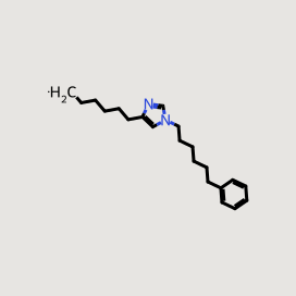 [CH2]CCCCCc1cn(CCCCCCc2ccccc2)cn1